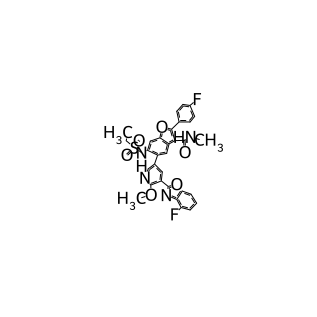 CCS(=O)(=O)Nc1cc2oc(-c3ccc(F)cc3)c(C(=O)NC)c2cc1-c1cnc(OC)c(-c2nc3c(F)cccc3o2)c1